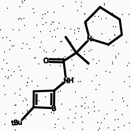 CC(C)(C)C1=CC(NC(=O)C(C)(C)N2CCCCC2)=B1